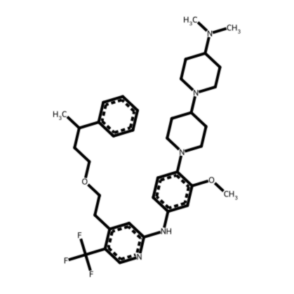 COc1cc(Nc2cc(CCOCCC(C)c3ccccc3)c(C(F)(F)F)cn2)ccc1N1CCC(N2CCC(N(C)C)CC2)CC1